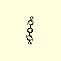 N#Cc1cnc(-c2ccc(-c3cnc(C#N)cn3)cc2)cn1